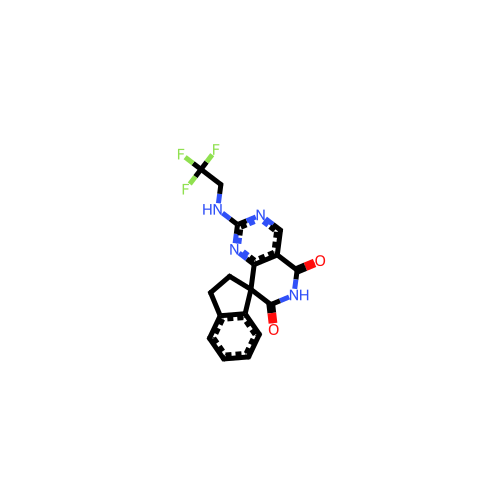 O=C1NC(=O)C2(CCc3ccccc32)c2nc(NCC(F)(F)F)ncc21